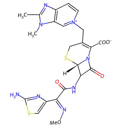 CON=C(C(=O)NC1C(=O)N2C(C(=O)[O-])=C(C[n+]3ccc4nc(C)n(C)c4c3)CS[C@@H]12)c1csc(N)n1